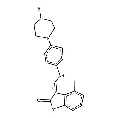 CCN1CCN(c2ccc(N/C=C3/C(=O)Nc4cccc(C)c43)cc2)CC1